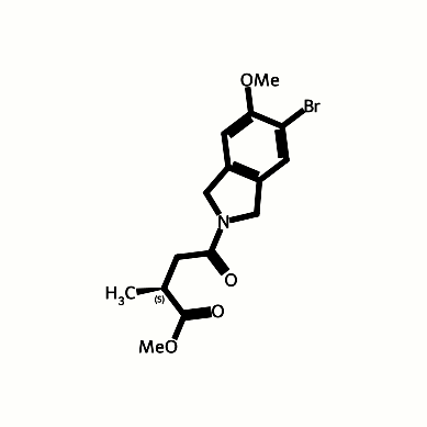 COC(=O)[C@@H](C)CC(=O)N1Cc2cc(Br)c(OC)cc2C1